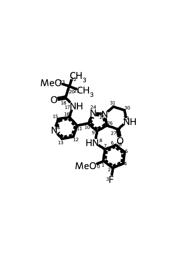 COc1c(F)cccc1Nc1c(-c2ccncc2NC(=O)C(C)(C)OC)nn2c1C(=O)NCC2